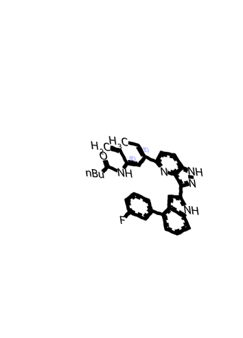 C=C/C(=C\C(=C/C)c1ccc2[nH]nc(-c3cc4c(-c5cccc(F)c5)cccc4[nH]3)c2n1)NC(=O)CCCC